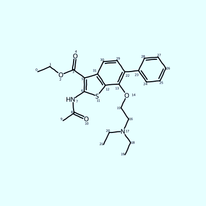 CCOC(=O)c1c(NC(C)=O)sc2c(OCCN(CC)CC)c(-c3ccccc3)ccc12